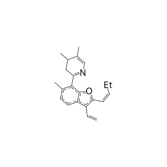 C=Cc1c(/C=C\CC)oc2c(C3=NC=C(C)C(C)C3)c(C)ccc12